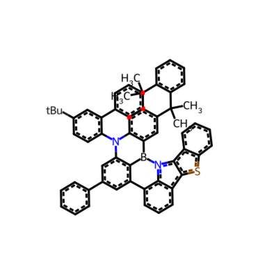 CC(C)(C)c1ccc(N2c3cc4c(cc3B3c5c(cc(-c6ccccc6)cc52)-c2cccc5c6sc7ccccc7c6n3c25)C(C)(C)c2ccccc2C4(C)C)c(-c2ccccc2)c1